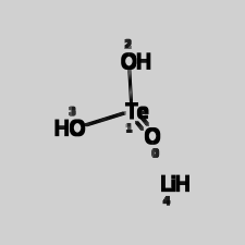 O=[Te](O)O.[LiH]